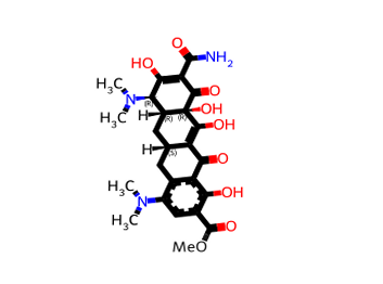 COC(=O)c1cc(N(C)C)c2c(c1O)C(=O)C1=C(O)[C@@]3(O)C(=O)C(C(N)=O)=C(O)[C@H](N(C)C)[C@H]3C[C@H]1C2